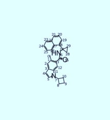 Cc1cc2ccn(C3CCC3)c2cc1C(=O)NC1(c2cccc3ccccc23)CC1